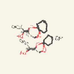 O=C([O-])[C@H](O)[C@H]1COC2(CCCCC2)O1.O=C([O-])[C@H](O)[C@H]1COC2(CCCCC2)O1.[Ca+2]